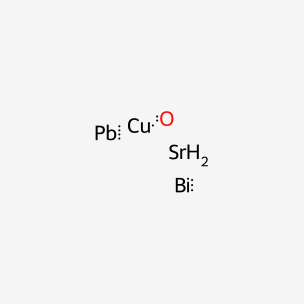 [Bi].[Cu].[O].[Pb].[SrH2]